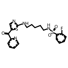 O=C(c1ccccn1)c1cnc(NCCCCCNS(=O)(=O)c2ccccc2F)s1